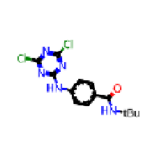 CC(C)(C)NC(=O)c1ccc(Nc2nc(Cl)nc(Cl)n2)cc1